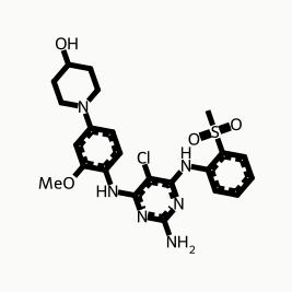 COc1cc(N2CCC(O)CC2)ccc1Nc1nc(N)nc(Nc2ccccc2S(C)(=O)=O)c1Cl